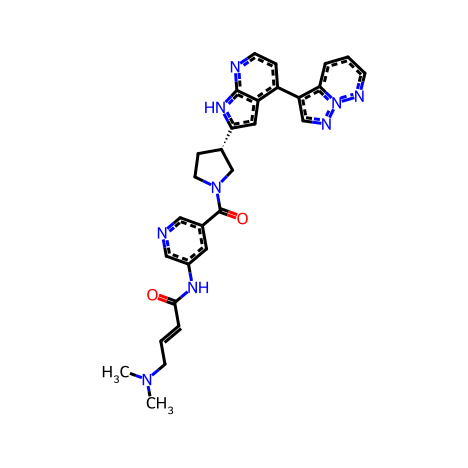 CN(C)C/C=C/C(=O)Nc1cncc(C(=O)N2CC[C@H](c3cc4c(-c5cnn6ncccc56)ccnc4[nH]3)C2)c1